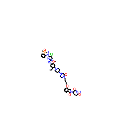 CCc1cc(Nc2ncc(Cl)c(Nc3ccccc3P(C)(C)=O)n2)c(OC)cc1N1CCC(N2CCN(CCCCOc3cccc4c3CN(C3CCC(=O)NC3=O)C4=O)C(=O)C2)CC1